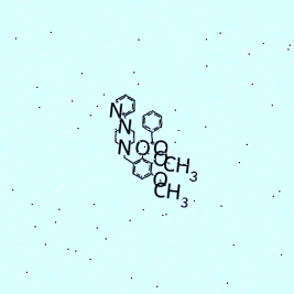 COc1ccc(CN2CCN(c3ccccn3)CC2)c(OC(=O)c2ccccc2)c1OC